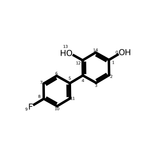 Oc1ccc(-c2ccc(F)cc2)c(O)c1